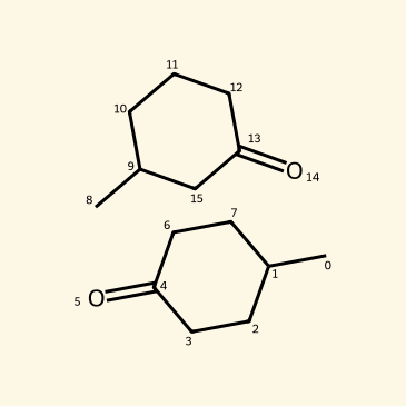 CC1CCC(=O)CC1.CC1CCCC(=O)C1